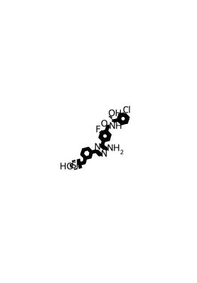 CC(C)(CC1CCCC(c2cnc(N)c(-c3ccc(C(=O)N[C@H](CO)c4cccc(Cl)c4)c(F)c3)n2)C1)[Si](C)(C)O